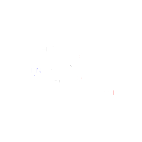 CCC(N)=C(C)C(=O)OCCO